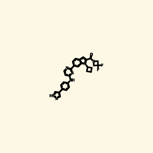 O=C(c1cc2ccc(-c3nccc(Nc4ccc(-c5cn[nH]c5)cc4)n3)cc2n1C1CCC1)N1CC(F)(F)C1